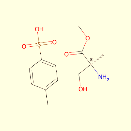 COC(=O)[C@@](C)(N)CO.Cc1ccc(S(=O)(=O)O)cc1